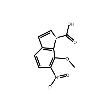 COc1c([N+](=O)[O-])ccc2ccn(C(=O)O)c12